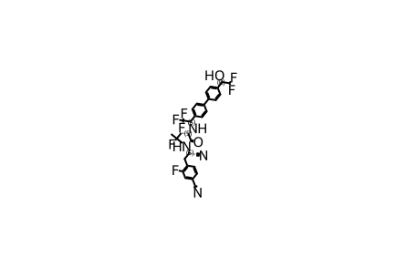 CC(C)(F)C[C@H](N[C@@H](c1ccc(-c2ccc([C@@H](O)C(F)F)cc2)cc1)C(F)(F)F)C(=O)N[C@H](C#N)Cc1ccc(C#N)cc1F